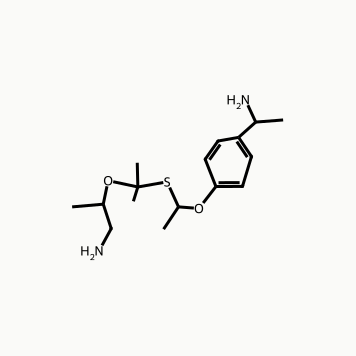 CC(CN)OC(C)(C)SC(C)Oc1ccc(C(C)N)cc1